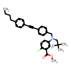 CCCCc1ccc(C#Cc2ccc(CN(CC(C)(C)C)c3ccc(F)c(C(=O)OC)c3)cc2)cc1